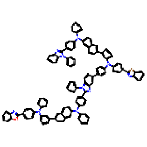 c1ccc(N(c2ccc(-c3nc4ccccc4o3)cc2)c2cccc(-c3ccc4cc(N(c5ccccc5)c5ccc(-c6nc7cc(-c8ccc(N(c9ccc(-c%10nc%11ccccc%11s%10)cc9)c9cccc(-c%10ccc%11cc(N(c%12ccccc%12)c%12ccc(-c%13nc%14ccccc%14n%13-c%13ccccc%13)cc%12)ccc%11c%10)c9)cc8)ccc7n6-c6ccccc6)cc5)ccc4c3)c2)cc1